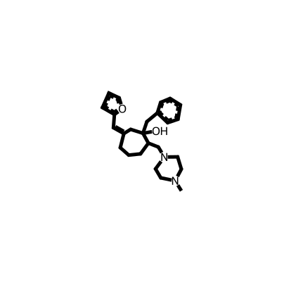 CN1CCN(CC2CCCC(=Cc3ccco3)CC2(O)Cc2ccccc2)CC1